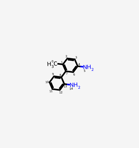 Cc1ccc(N)cc1-c1ccccc1N